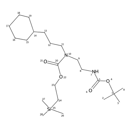 CC(C)(C)OC(=O)NCCN(CCCC1CCCCC1)C(=O)OCC[Si](C)(C)C